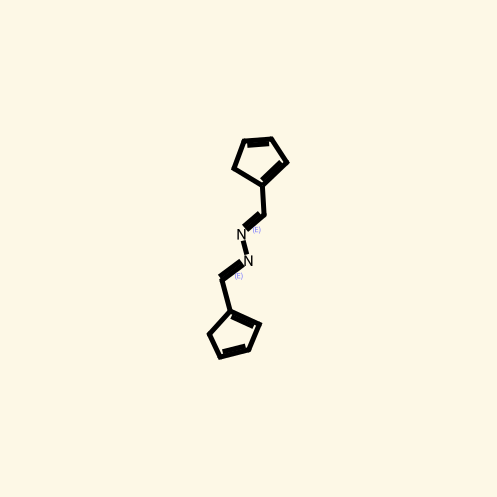 C1=CCC(/C=N/N=C/C2=CC=CC2)=C1